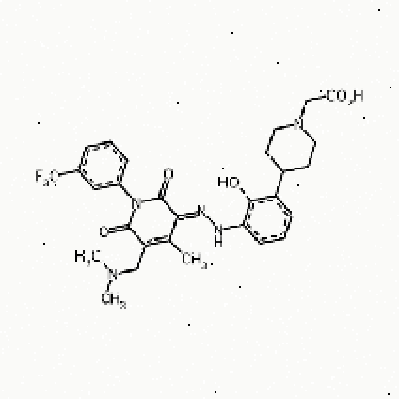 CC1=C(CN(C)C)C(=O)N(c2cccc(C(F)(F)F)c2)C(=O)/C1=N/Nc1cccc(C2CCN(CC(=O)O)CC2)c1O